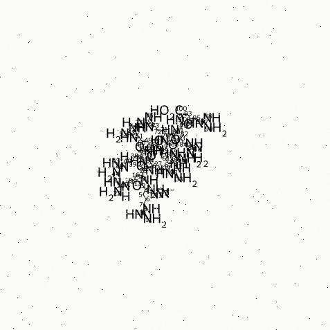 [N-]=[N+]=NN[C@@H](CCCNC(=N)N)C(=O)N[C@@H](CCCNC(=N)N)C(=O)N[C@@H](CCCNC(=N)N)C(=O)N[C@@H](CCCNC(=N)N)C(=O)N[C@@H](CCCNC(=N)N)C(=O)N[C@@H](CCCNC(=N)N)C(=O)N[C@@H](CCCNC(=N)N)C(=O)N[C@@H](CCCNC(=N)N)C(=O)N[C@@H](CCCNC(=N)N)C(=O)O